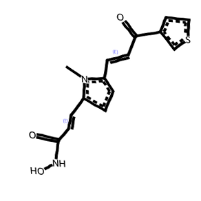 Cn1c(/C=C/C(=O)NO)ccc1/C=C/C(=O)c1ccsc1